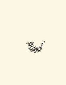 CN(C)C1CN(c2cc(C(=O)Nc3cc4cc(-c5cn(C)nn5)cnc4cn3)ccn2)C1